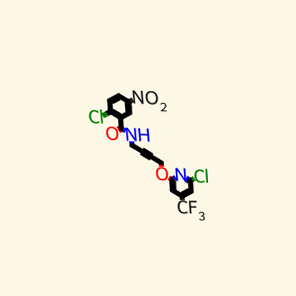 O=C(NCC#CCOc1cc(C(F)(F)F)cc(Cl)n1)c1cc([N+](=O)[O-])ccc1Cl